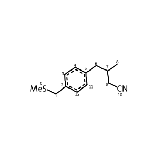 CSCc1ccc(CC(C)CC#N)cc1